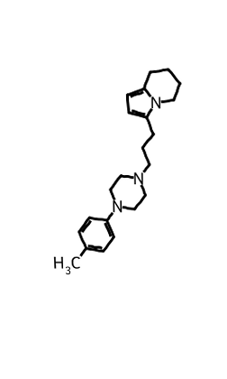 Cc1ccc(N2CCN(CCCc3ccc4n3CCCC4)CC2)cc1